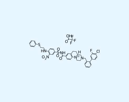 O=C(NS(=O)(=O)c1ccc(NCCSc2ccccc2)c([N+](=O)[O-])c1)c1ccc2c(c1)CC[C@H]1CN(Cc3ccccc3-c3ccc(Cl)c(F)c3)CCN21.O=C(O)C(F)(F)F